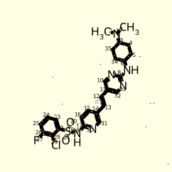 CN(C)C1CCC(Nc2ncc(/C=C/c3ccc(NS(=O)(=O)c4cccc(F)c4Cl)nc3)cn2)CC1